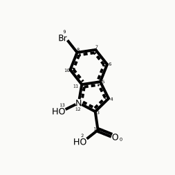 O=C(O)c1cc2ccc(Br)cc2n1O